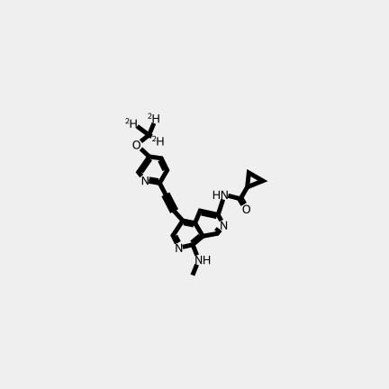 [2H]C([2H])([2H])Oc1ccc(C#Cc2cnc(NC)c3cnc(NC(=O)C4CC4)cc23)nc1